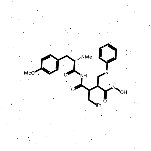 CN[C@@H](Cc1ccc(OC)cc1)C(=O)NC(=O)C(CC(C)C)C(CSc1ccccc1)C(=O)NO